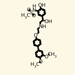 COc1ccc(-c2ccc(OCCNC[C@H](O)c3ccc(O)c(NS(C)(=O)=O)c3)cc2)cc1OC